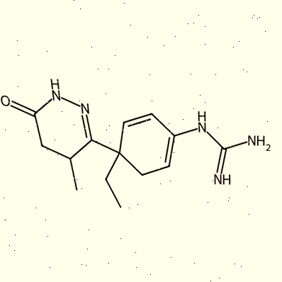 CCC1(C2=NNC(=O)CC2C)C=CC(NC(=N)N)=CC1